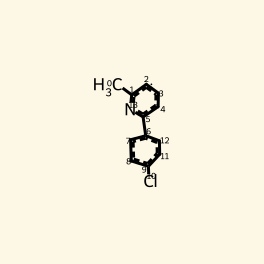 Cc1[c]ccc(-c2ccc(Cl)cc2)n1